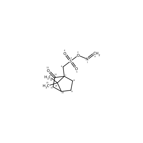 C=NOS(=O)(=O)CC12CCC(CC1=O)C2(C)C